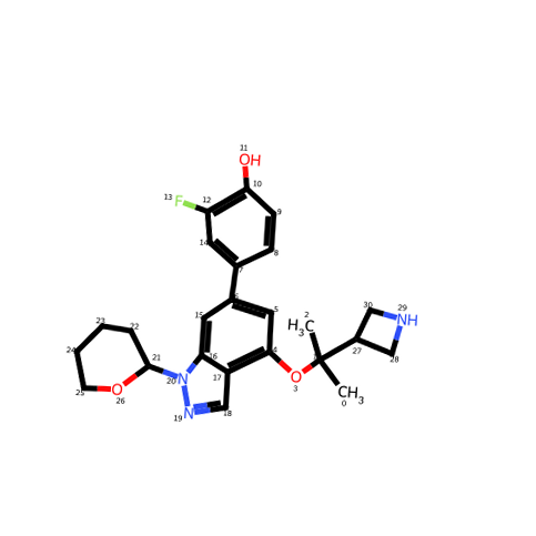 CC(C)(Oc1cc(-c2ccc(O)c(F)c2)cc2c1cnn2C1CCCCO1)C1CNC1